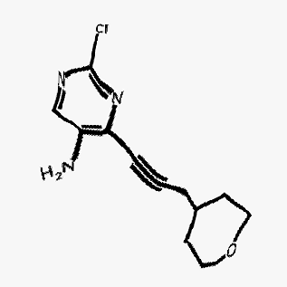 Nc1cnc(Cl)nc1C#CC1CCOCC1